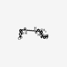 Cc1ccc(NC(=O)C2(c3ccc4c(c3)OC(F)(F)O4)CC2)nc1-c1cccc(C(=O)NCCCCCCCCNC(=O)CCc2cccc(N3CCN(C(=O)CCl)CC3=O)n2)c1